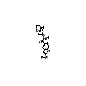 O=C(N[C@@H]1C[C@H]2CCN(C2)C1)c1cc2cc(C(F)(F)F)oc2cn1